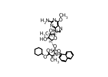 COc1nc(N)nc2c1ncn2[C@@H]1O[C@H](COP(=S)(N[C@@H](C)C(=O)OC2CCCCC2)Oc2cccc3ccccc23)[C@@H](O)[C@@]1(C)O